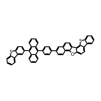 c1ccc2c(c1)sc1ccc(-c3c4ccccc4c(-c4ccc(-c5ccc6c(ccc7c6oc6ccc8c9ccccc9sc8c67)c5)cc4)c4ccccc34)cc12